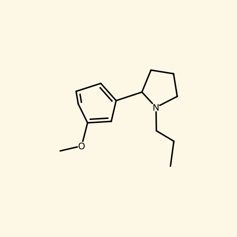 CCCN1CCCC1c1cccc(OC)c1